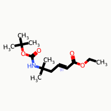 CCOC(=O)/C=C/CC(C)(C)NC(=O)OC(C)(C)C